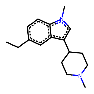 CCc1ccc2c(c1)c(C1CCN(C)CC1)cn2C